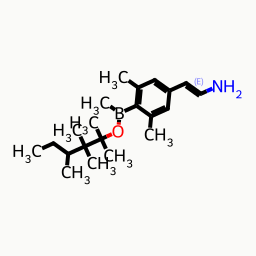 CCC(C)C(C)(C)C(C)(C)OB(C)c1c(C)cc(/C=C/N)cc1C